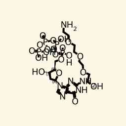 NCCOCCOCCOCCO.Nc1nc2c(ncn2[C@H]2C[C@H](O)[C@@H](COP(=O)(O)OP(=O)(O)OP(=O)(O)OP(=O)(O)O)O2)c(=O)[nH]1